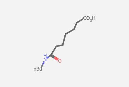 CCCCNC(=O)CCCCCC(=O)O